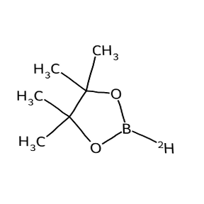 [2H]B1OC(C)(C)C(C)(C)O1